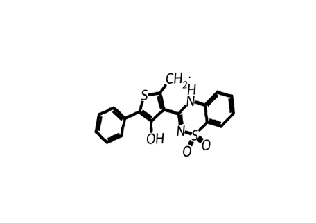 [CH2]c1sc(-c2ccccc2)c(O)c1C1=NS(=O)(=O)c2ccccc2N1